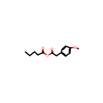 [CH2]CCCC(=O)OC(=O)Cc1ccc(OC)cc1